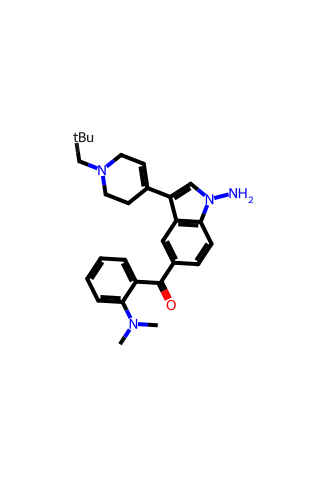 CN(C)c1ccccc1C(=O)c1ccc2c(c1)c(C1=CCN(CC(C)(C)C)CC1)cn2N